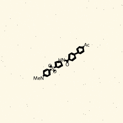 CNc1ccc(S(=O)(=O)c2ccc(NC(=O)c3ccc(-c4ccc(C(C)=O)cc4)cc3)cc2)cc1